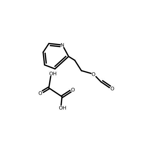 O=C(O)C(=O)O.O=COCCc1ccccn1